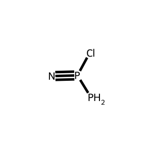 N#P(P)Cl